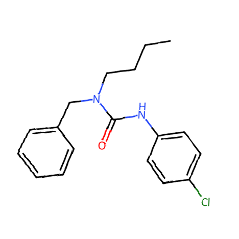 CCCCN(Cc1ccccc1)C(=O)Nc1ccc(Cl)cc1